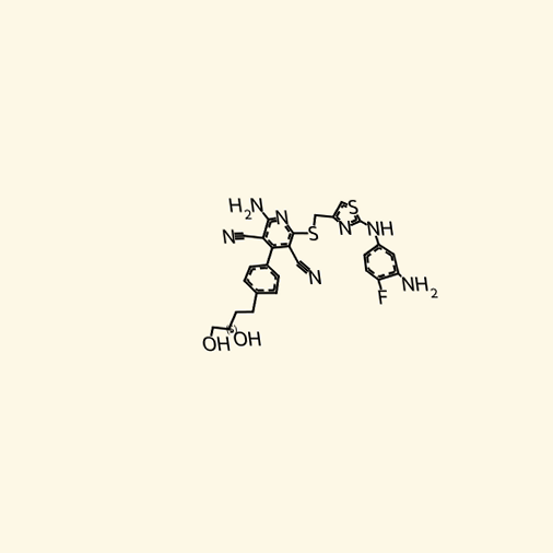 N#Cc1c(N)nc(SCc2csc(Nc3ccc(F)c(N)c3)n2)c(C#N)c1-c1ccc(CC[C@H](O)CO)cc1